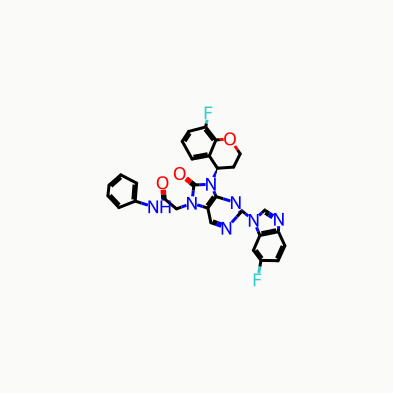 O=C(Cn1c(=O)n([C@@H]2CCOc3c(F)cccc32)c2nc(-n3cnc4ccc(F)cc43)ncc21)Nc1ccccc1